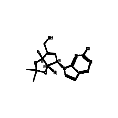 CC1(C)O[C@@H]2[C@H](O1)C(CO)=C[C@H]2n1ccc2cnc(Cl)nc21